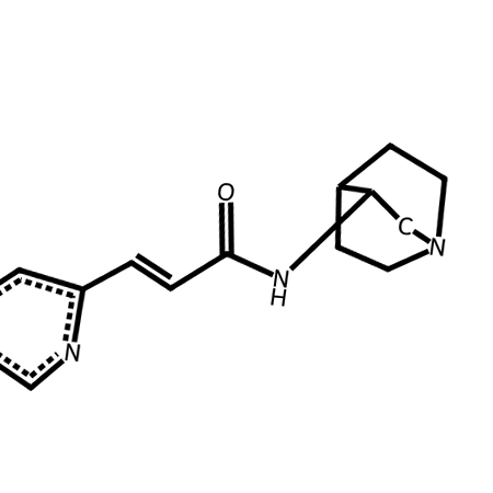 O=C(/C=C/c1ccccn1)NC1CN2CCC1CC2